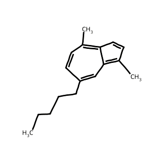 CCCCCc1ccc(C)c2ccc(C)c-2c1